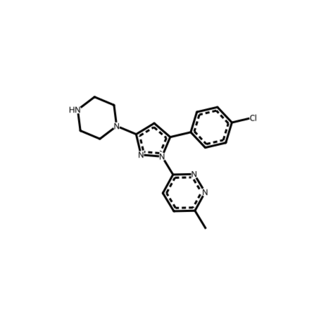 Cc1ccc(-n2nc(N3CCNCC3)cc2-c2ccc(Cl)cc2)nn1